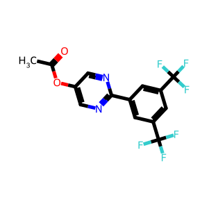 CC(=O)Oc1cnc(-c2cc(C(F)(F)F)cc(C(F)(F)F)c2)nc1